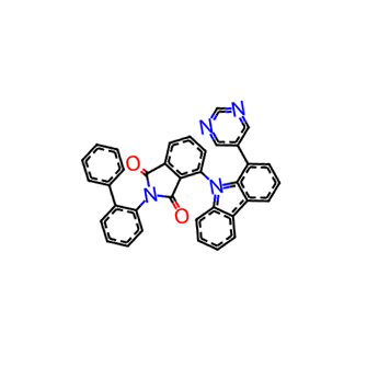 O=C1c2cccc(-n3c4ccccc4c4cccc(-c5cncnc5)c43)c2C(=O)N1c1ccccc1-c1ccccc1